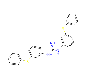 N=C(Nc1cccc(Sc2ccccc2)c1)Nc1cccc(Sc2ccccc2)c1